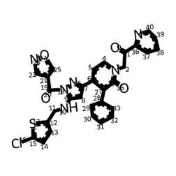 O=C(Cn1ccc(-c2cc(NCc3ccc(Cl)s3)n(C(=O)c3cnoc3)n2)c(-c2ccccc2)c1=O)c1ccccn1